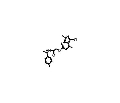 Cc1ccc(C(C)NC(=O)COc2cc(C)c3c(Cl)nn(C)c3n2)cc1